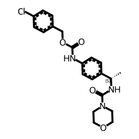 C[C@H](NC(=O)N1CCOCC1)c1ccc(NC(=O)OCc2ccc(Cl)cc2)cc1